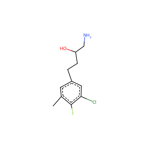 Cc1cc(CCC(O)CN)cc(Cl)c1F